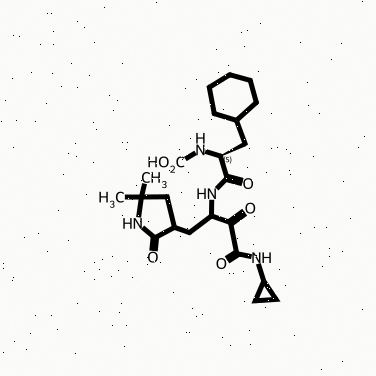 CC1(C)CC(CC(NC(=O)[C@H](CC2CCCCC2)NC(=O)O)C(=O)C(=O)NC2CC2)C(=O)N1